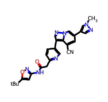 Cn1cc(-c2cc(C#N)c3c(-c4ccc(CC(=O)Nc5cc(C(C)(C)C)on5)nc4)cnn3c2)cn1